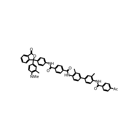 CNc1ccc(C2(c3ccc(NC(=O)c4ccc(C(=O)Nc5ccc(-c6ccc(NC(=O)c7ccc(C(C)=O)cc7)c(C)c6)cc5C)cc4)cc3)OC(=O)c3ccccc32)cc1C